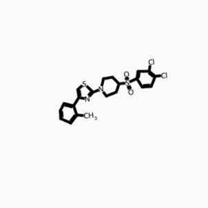 Cc1ccccc1-c1csc(N2CCC(S(=O)(=O)c3ccc(Cl)c(Cl)c3)CC2)n1